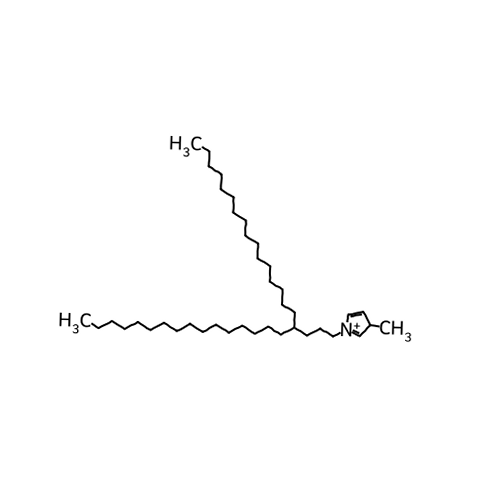 CCCCCCCCCCCCCCCCC(CCCCCCCCCCCCCCCC)CCC[N+]1=CC(C)C=C1